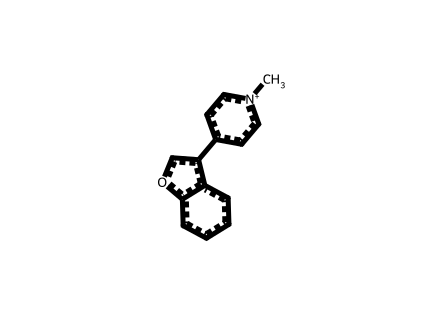 C[n+]1ccc(-c2coc3ccccc23)cc1